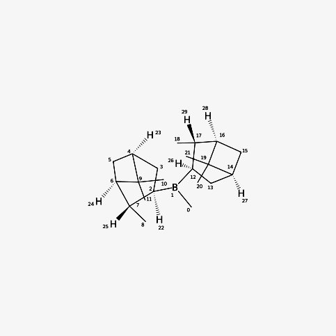 CB([C@@H]1C[C@@H]2C[C@H]([C@H]1C)C2(C)C)[C@@H]1C[C@@H]2C[C@H]([C@H]1C)C2(C)C